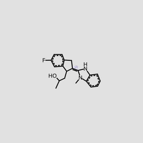 CC(O)CC1/C(=C2/Nc3ccccc3N2C)Cc2ccc(F)cc21